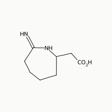 N=C1CCCCC(CC(=O)O)N1